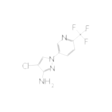 Nc1nn(-c2ccc(C(F)(F)F)nc2)cc1Cl